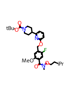 COc1cc(COc2cccc(C3CCN(C(=O)OC(C)(C)C)CC3)n2)c(F)cc1C(=O)N(C)OCCC(C)C